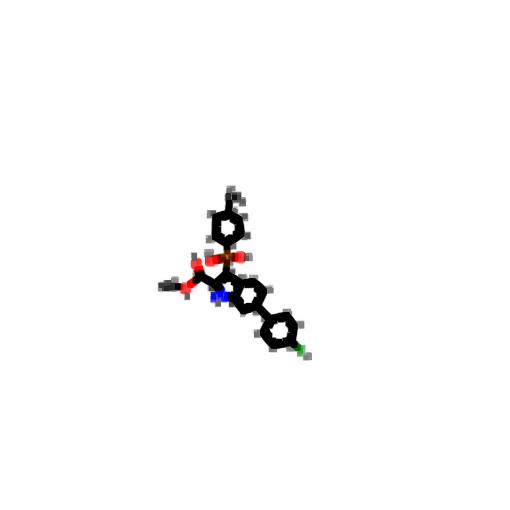 CCCCOC(=O)c1[nH]c2cc(-c3ccc(F)cc3)ccc2c1S(=O)(=O)c1ccc(C)cc1